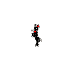 CC(C)n1c(=O)c(-c2ccc(NSCCC(F)(F)F)c(F)c2)nc2cnc(NC3CCC(N(C)C)C(F)C3)nc21